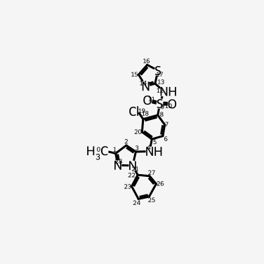 Cc1cc(Nc2ccc(S(=O)(=O)Nc3nccs3)c(Cl)c2)n(-c2ccccc2)n1